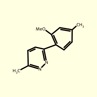 COc1cc(C)ccc1-c1ccc(C)nn1